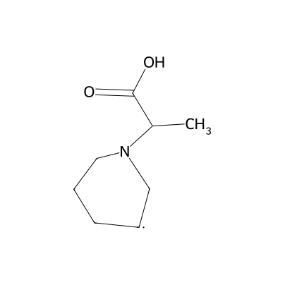 CC(C(=O)O)N1C[CH]CCC1